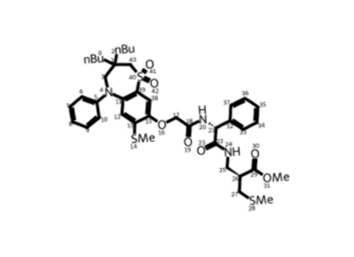 CCCCC1(CCCC)CN(c2ccccc2)c2cc(SC)c(OCC(=O)N[C@@H](C(=O)NC[C@H](CSC)C(=O)OC)c3ccccc3)cc2S(=O)(=O)C1